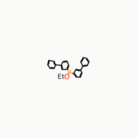 CCOP(c1cccc(-c2ccccc2)c1)c1cccc(-c2ccccc2)c1